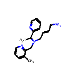 Cc1cccnc1CN(CC=CCN)C(C)c1ccccn1